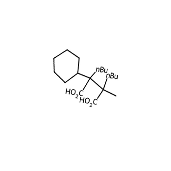 CCCCC(C)(C(=O)O)C(CCCC)(C(=O)O)C1CCCCC1